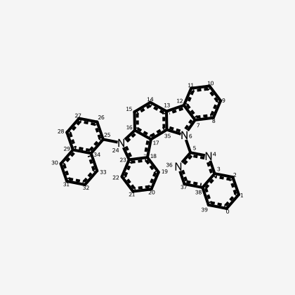 c1ccc2nc(-n3c4ccccc4c4ccc5c(c6ccccc6n5-c5cccc6ccccc56)c43)ncc2c1